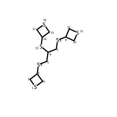 C1SCC1SCC(CSC1CSC1)SC1CSC1